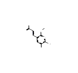 COc1nc(N)c(F)cc1/C=C/C(=O)O